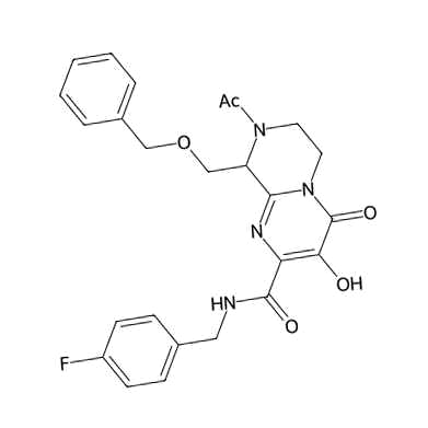 CC(=O)N1CCn2c(nc(C(=O)NCc3ccc(F)cc3)c(O)c2=O)C1COCc1ccccc1